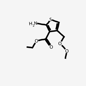 CCOC(=O)c1c(COOC)csc1N